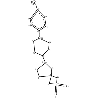 O=S1(=O)CC2(CCN(C3CCN(c4ccc(C(F)(F)F)cn4)CC3)C2)C1